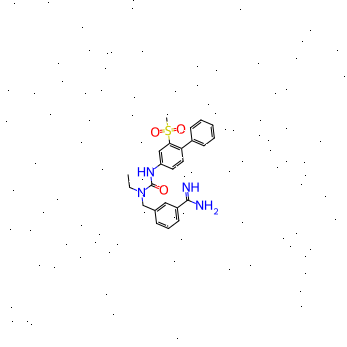 CCN(Cc1cccc(C(=N)N)c1)C(=O)Nc1ccc(-c2ccccc2)c(S(C)(=O)=O)c1